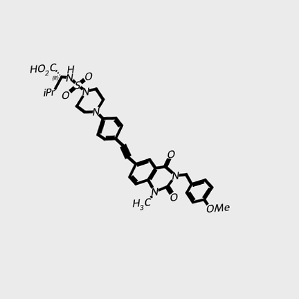 COc1ccc(Cn2c(=O)c3cc(C#Cc4ccc(N5CCN(S(=O)(=O)N[C@@H](C(=O)O)C(C)C)CC5)cc4)ccc3n(C)c2=O)cc1